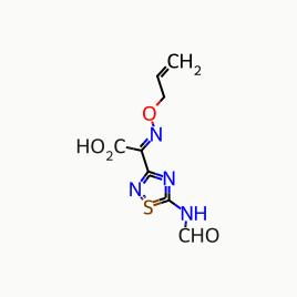 C=CCO/N=C(\C(=O)O)c1nsc(NC=O)n1